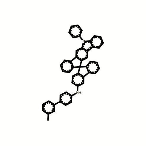 Cc1cccc(-c2ccc(Nc3ccc4c(c3)-c3ccccc3C43c4ccccc4-c4cc5c(cc43)c3ccccc3n5-c3ccccc3)cc2)c1